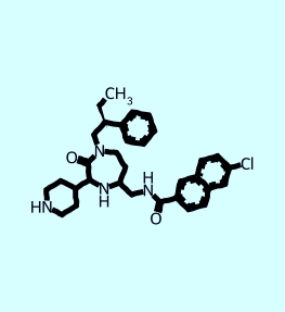 CC[C@H](CN1CCC(CNC(=O)c2ccc3cc(Cl)ccc3c2)NC(C2CCNCC2)C1=O)c1ccccc1